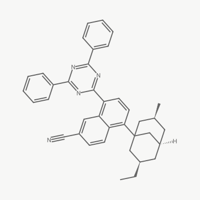 CC[C@@H]1C[C@@H]2C[C@H](C)CC(c3ccc(-c4nc(-c5ccccc5)nc(-c5ccccc5)n4)c4cc(C#N)ccc34)(C1)C2